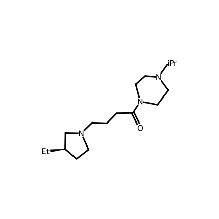 CC[C@@H]1CCN(CCCC(=O)N2CCN(C(C)C)CC2)C1